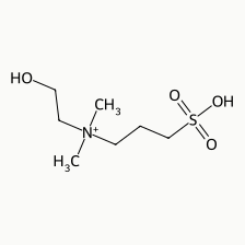 C[N+](C)(CCO)CCCS(=O)(=O)O